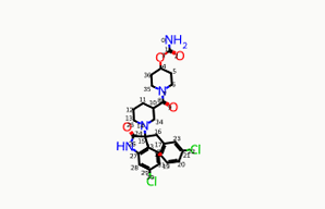 NC(=O)OC1CCN(C(=O)C2CCCN(C3(Cc4cccc(Cl)c4)C(=O)Nc4cc(Cl)ccc43)C2)CC1